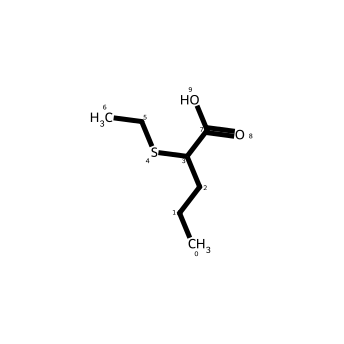 CCCC(SCC)C(=O)O